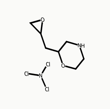 C1COC(CC2CO2)CN1.ClN(Cl)Cl